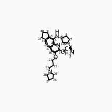 COc1nc2c(N[C@@H]3CC[C@H](C#N)C3)c3c(nc2cc1OCCCN1CCCC1)CCC3